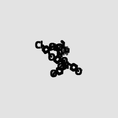 C=C[C@H](O)[C@@H]1CC[C@H]1CN1CCCOc2cc(Cl)ccc2COc2ccc(S(=O)(=O)N(Cc3ccc(OC)cc3)Cc3ccc(OC)cc3)cc21